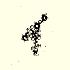 CN(CCc1ccccc1)C(=O)Cn1c(N(C=O)C(CCCCNC(=O)OC(C)(C)C)(C(=O)O)C(C)(C)C)cc2cc(OCc3ccccc3)ccc21